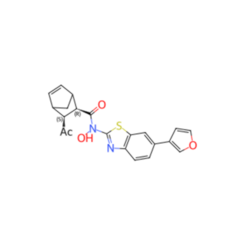 CC(=O)[C@H]1C2C=CC(C2)[C@H]1C(=O)N(O)c1nc2ccc(-c3ccoc3)cc2s1